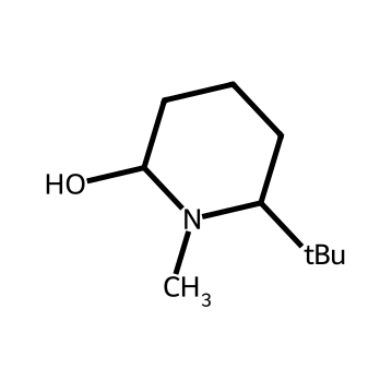 CN1C(O)CCCC1C(C)(C)C